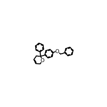 C1=CCC(c2ccccc2)(c2ccc(OCc3ccccc3)cc2)OC1